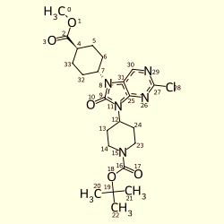 COC(=O)[C@H]1CC[C@H](n2c(=O)n(C3CCN(C(=O)OC(C)(C)C)CC3)c3nc(Cl)ncc32)CC1